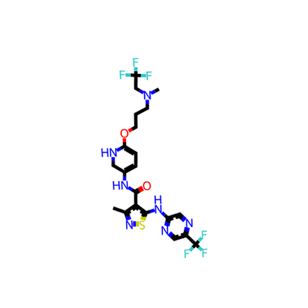 Cc1nsc(Nc2cnc(C(F)(F)F)cn2)c1C(=O)NC1=CC=C(OCCCN(C)CC(F)(F)F)NC1